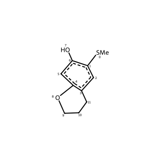 CSc1cc2c(cc1O)OCCC2